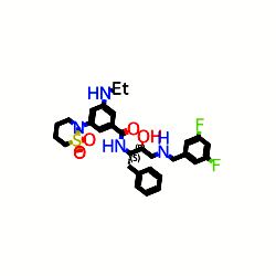 CCNc1cc(C(=O)N[C@@H](Cc2ccccc2)[C@H](O)CNCc2cc(F)cc(F)c2)cc(N2CCCCS2(=O)=O)c1